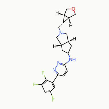 Fc1cc(F)c(F)c(-c2ccc(N[C@H]3C[C@@H]4CN(C[C@@H]5[C@@H]6COC[C@@H]65)C[C@@H]4C3)nn2)c1